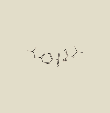 CC(C)OC(=O)NS(=O)(=O)c1ccc(OC(C)C)cc1